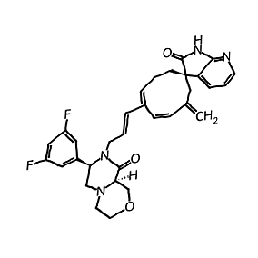 C=C1\C=C/C(/C=C/CN2C(=O)[C@H]3COCCN3C[C@H]2c2cc(F)cc(F)c2)=C\CC[C@@]2(C1)C(=O)Nc1ncccc12